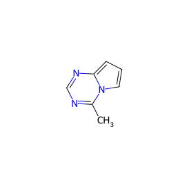 Cc1ncnc2cccn12